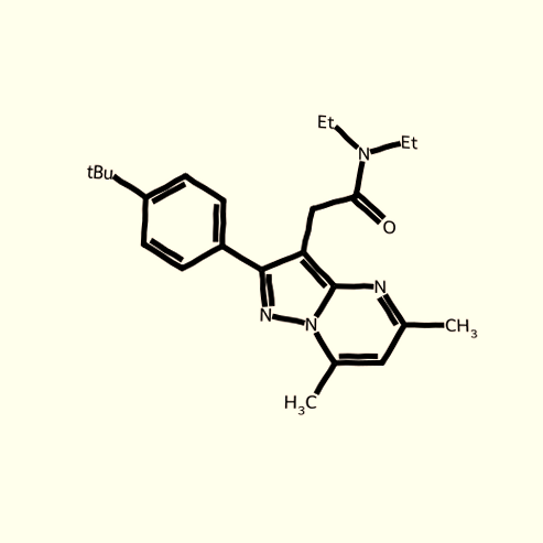 CCN(CC)C(=O)Cc1c(-c2ccc(C(C)(C)C)cc2)nn2c(C)cc(C)nc12